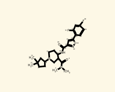 CN(C)C(=O)C1CN(C2CCC(C)(C)C2)CCC1NC(=O)c1cc(-c2ccc(F)cc2F)on1